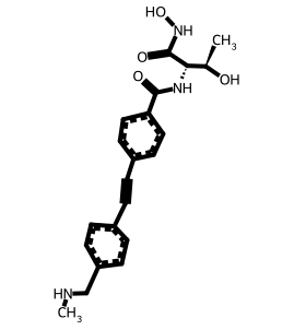 CNCc1ccc(C#Cc2ccc(C(=O)N[C@H](C(=O)NO)[C@@H](C)O)cc2)cc1